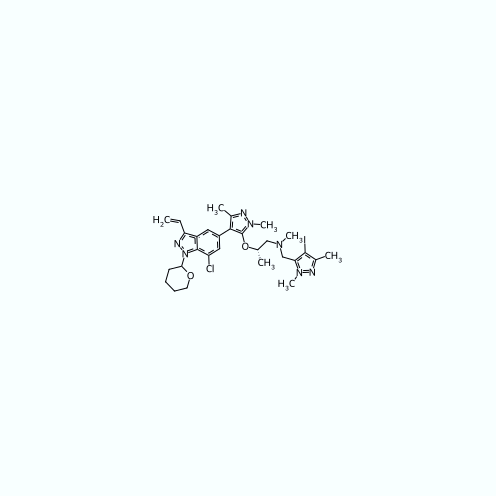 C=Cc1nn(C2CCCCO2)c2c(Cl)cc(-c3c(C)nn(C)c3O[C@@H](C)CN(C)Cc3c(I)c(C)nn3C)cc12